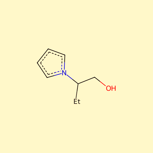 CCC(CO)n1cccc1